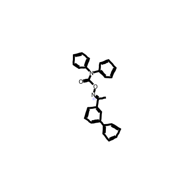 C/C(=N\OC(=O)N(c1ccccc1)c1ccccc1)c1cccc(-c2ccccc2)c1